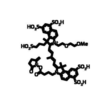 C=C1CCC(=O)N1OC(=O)CCCN1/C(=C/C=C(C)/C=C/C2=[N+](CCOCCOC)c3ccc4c(S(=O)(=O)O)cc(S(=O)(=O)O)cc4c3C2(C)CCCS(=O)(=O)O)C(C)(C)c2c1ccc1c(S(=O)(=O)O)cc(S(=O)(=O)O)cc21